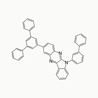 c1ccc(-c2cc(-c3ccccc3)cc(-c3ccc4nc5c(nc4c3)c3ccccc3n5-c3cccc(-c4ccccc4)c3)c2)cc1